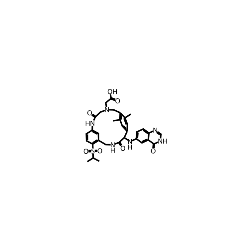 Cc1cc2cc(C)c1CN(CC(=O)O)CC(=O)Nc1ccc(S(=O)(=O)C(C)C)c(c1)CNC(=O)C2Nc1ccc2nc[nH]c(=O)c2c1